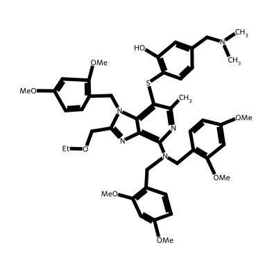 CCOCc1nc2c(N(Cc3ccc(OC)cc3OC)Cc3ccc(OC)cc3OC)nc(C)c(Sc3ccc(CN(C)C)cc3O)c2n1Cc1ccc(OC)cc1OC